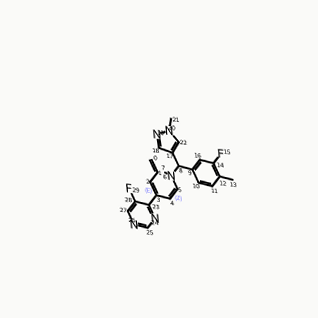 C=C/C=C(\C=C/N(C)C(c1ccc(C)c(F)c1)c1cnn(C)c1)c1ncncc1F